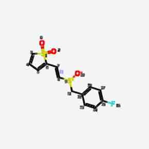 O=S1(=O)C=CC=C1/C=C/[S+]([O-])Cc1ccc(F)cc1